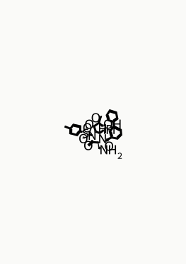 Cc1ccc(S(=O)(=O)N(C(=O)[C@H](CN)NC(=O)c2cccc(-c3ccccc3)c2)C(CC(C)C)C(=O)C2(CO)CO2)cc1